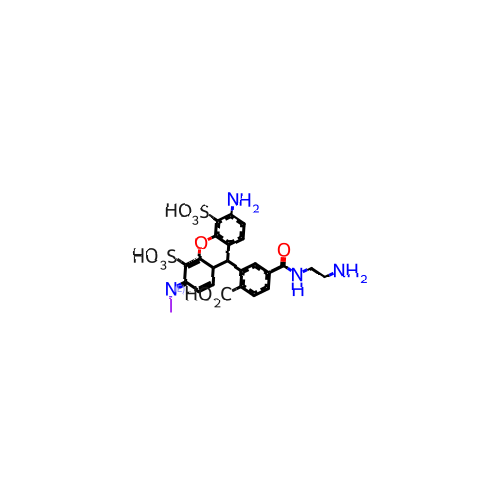 NCCNC(=O)c1ccc(C(=O)O)c(C2c3ccc(N)c(S(=O)(=O)O)c3OC3=C(S(=O)(=O)O)/C(=N/I)C=CC32)c1